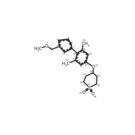 COCc1cccc(-c2c(C)cc(OC3CCS(=O)(=O)CC3)cc2C)c1